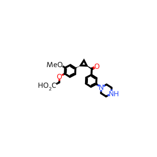 COc1cc([C@@H]2C[C@H]2C(=O)c2cccc(N3CCNCC3)c2)ccc1OCC(=O)O